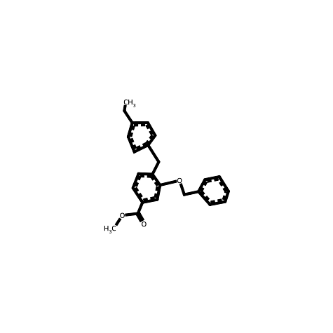 CCc1ccc(Cc2ccc(C(=O)OC)cc2OCc2ccccc2)cc1